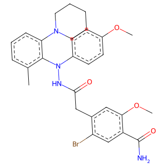 COc1ccc(N(NC(=O)Cc2cc(OC)c(C(N)=O)cc2Br)c2c(C)cccc2N2CCCCC2)cc1